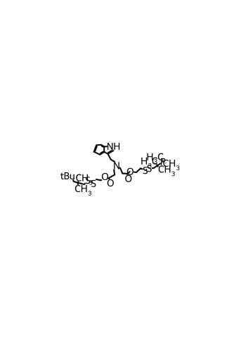 CP(C)C(C)(C)CSSCCOC(=O)CCN(CCC(=O)OCCSSCC(C)(C)CC(C)(C)C)CCc1c[nH]c2ccccc12